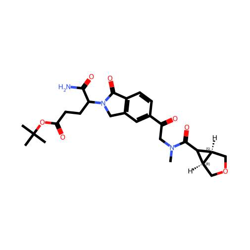 CN(CC(=O)c1ccc2c(c1)CN(C(CCC(=O)OC(C)(C)C)C(N)=O)C2=O)C(=O)C1[C@H]2COC[C@@H]12